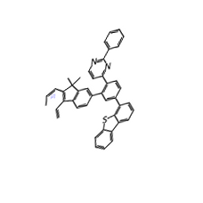 C=CC1=C(/C=C\C)C(C)(C)c2cc(-c3cc(-c4cccc5c4sc4ccccc45)ccc3-c3ccnc(-c4ccccc4)n3)ccc21